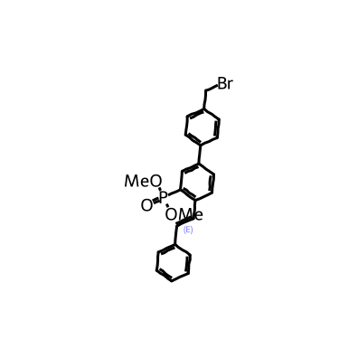 COP(=O)(OC)c1cc(-c2ccc(CBr)cc2)ccc1/C=C/c1ccccc1